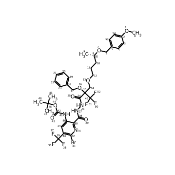 COc1ccc(CO[C@@H](C)CCCOCC(OCc2ccccc2)(C(=O)NNC(=O)c2nc(Br)c(C(F)(F)F)cc2NC(=O)OC(C)(C)C)C(F)(F)F)cc1